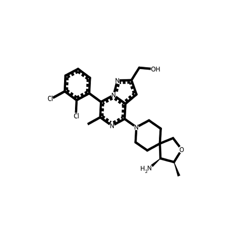 Cc1nc(N2CCC3(CC2)CO[C@@H](C)[C@H]3N)c2cc(CO)nn2c1-c1cccc(Cl)c1Cl